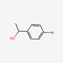 [CH2]C(O)c1ccc(Br)cc1